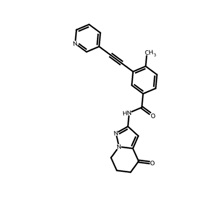 Cc1ccc(C(=O)Nc2cc3n(n2)CCCC3=O)cc1C#Cc1cccnc1